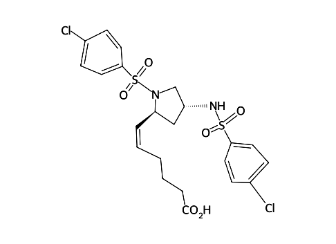 O=C(O)CCC/C=C\[C@@H]1C[C@@H](NS(=O)(=O)c2ccc(Cl)cc2)CN1S(=O)(=O)c1ccc(Cl)cc1